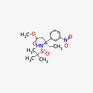 CC[C@@](CC(=O)OC)(N[S+]([O-])C(C)(C)C)c1cccc([N+](=O)[O-])c1